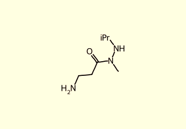 CC(C)NN(C)C(=O)CCN